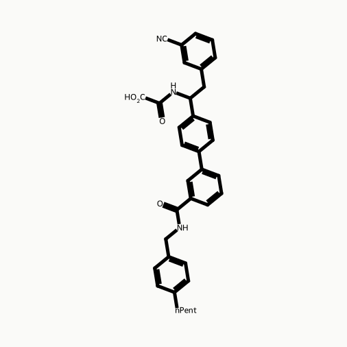 CCCCCc1ccc(CNC(=O)c2cccc(-c3ccc(C(Cc4cccc(C#N)c4)NC(=O)C(=O)O)cc3)c2)cc1